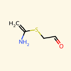 C=C(N)SCC=O